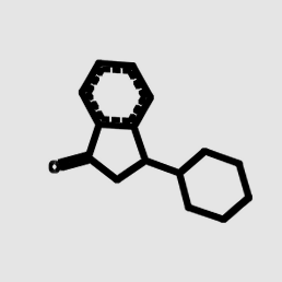 O=C1CC(C2CCCCC2)c2ccccc21